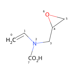 C=CN(CC1CO1)C(=O)O